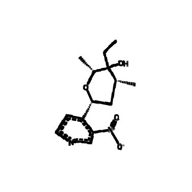 CCC1(O)[C@H](C)C[C@H](c2ccncc2[N+](=O)[O-])O[C@@H]1C